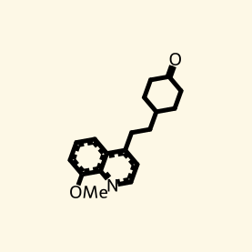 COc1cccc2c(CCC3CCC(=O)CC3)ccnc12